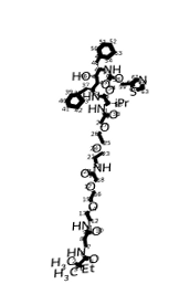 CCC(C)(C)C(=O)NCCC(=O)NCCOCCOCC(=O)NCCOCCOCC(=O)N[C@H](C(=O)N[C@@H](Cc1ccccc1)C[C@H](O)[C@H](Cc1ccccc1)NC(=O)OCc1cncs1)C(C)C